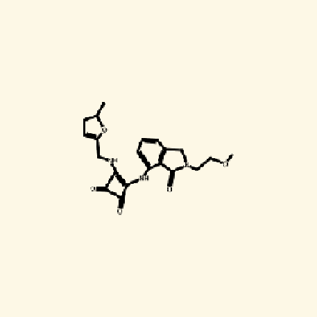 COCCN1Cc2cccc(Nc3c(NCC4=CCC(C)O4)c(=O)c3=O)c2C1=O